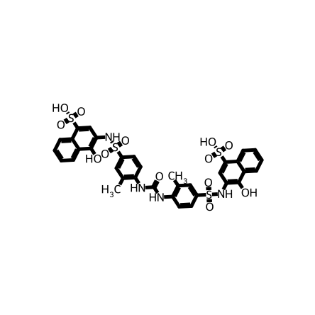 Cc1cc(S(=O)(=O)Nc2cc(S(=O)(=O)O)c3ccccc3c2O)ccc1NC(=O)Nc1ccc(S(=O)(=O)Nc2cc(S(=O)(=O)O)c3ccccc3c2O)cc1C